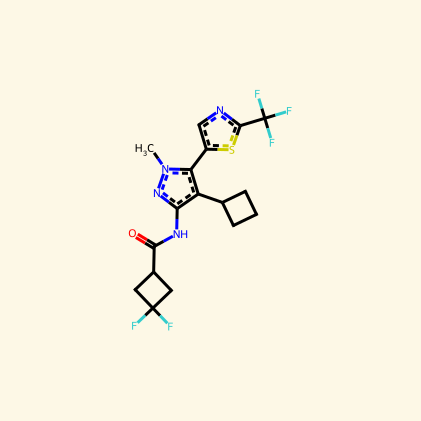 Cn1nc(NC(=O)C2CC(F)(F)C2)c(C2CCC2)c1-c1cnc(C(F)(F)F)s1